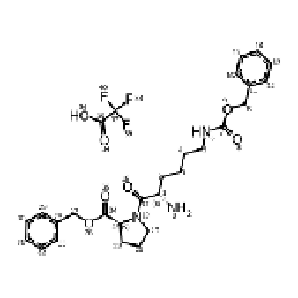 N[C@@H](CCCCNC(=O)OCc1ccccc1)C(=O)N1CCC[C@H]1C(=O)OCc1ccccc1.O=C(O)C(F)(F)F